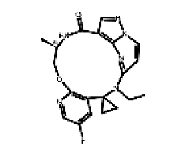 CCN1c2ccn3ncc(c3n2)C(=O)N[C@H](C)COc2ncc(F)cc2C12CC2